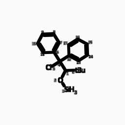 CC(C)(C)C(O[SiH3])C(Cl)(c1ccccc1)c1ccccc1